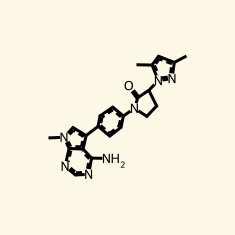 Cc1cc(C)n(C2CCN(c3ccc(-c4cn(C)c5ncnc(N)c45)cc3)C2=O)n1